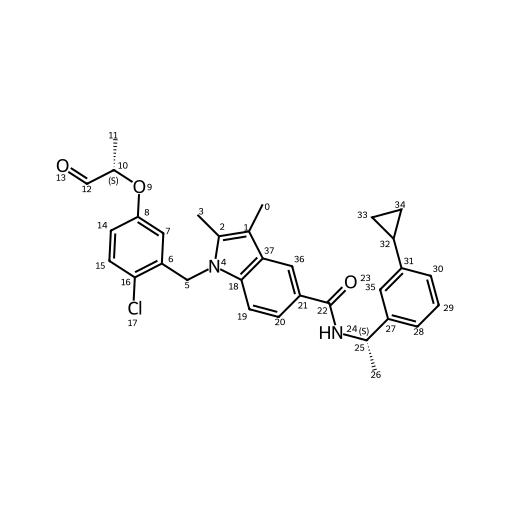 Cc1c(C)n(Cc2cc(O[C@@H](C)C=O)ccc2Cl)c2ccc(C(=O)N[C@@H](C)c3cccc(C4CC4)c3)cc12